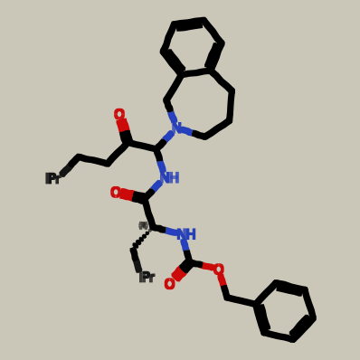 CC(C)CCC(=O)C(NC(=O)[C@@H](CC(C)C)NC(=O)OCc1ccccc1)N1CCCc2ccccc2C1